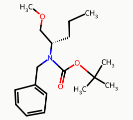 CCC[C@@H](COC)N(Cc1ccccc1)C(=O)OC(C)(C)C